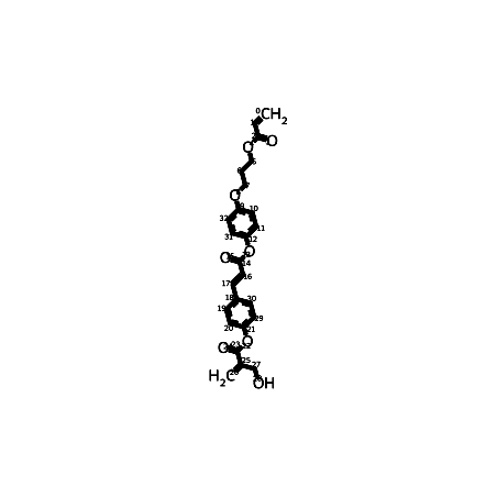 C=CC(=O)OCCCOc1ccc(OC(=O)/C=C/c2ccc(OC(=O)C(=C)CO)cc2)cc1